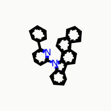 c1ccc(-c2cccc(-n3c4ccccc4c4ccc5c6ccccc6ccc5c43)n2)cc1